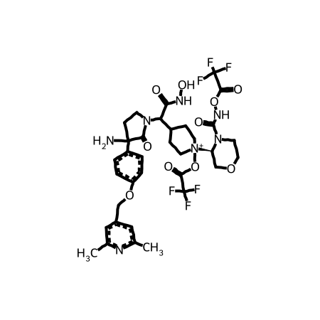 Cc1cc(COc2ccc(C3(N)CCN(C(C(=O)NO)C4CC[N+](OC(=O)C(F)(F)F)([C@@H]5COCCN5C(=O)NOC(=O)C(F)(F)F)CC4)C3=O)cc2)cc(C)n1